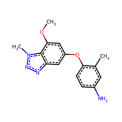 COc1cc(Oc2ccc(N)cc2C)cc2nnn(C)c12